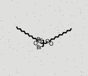 CCCCCCCCCCCC(=O)OCC(CBr)(CBr)COC(=O)CCCCCCCCCCC